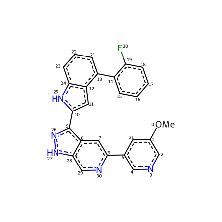 COc1cncc(-c2cc3c(-c4cc5c(-c6ccccc6F)cccc5[nH]4)n[nH]c3cn2)c1